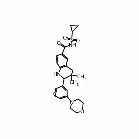 CC1(C)Cc2cc(C(=O)NS(=O)(=O)C3CC3)ccc2NC1c1cncc(N2CCOCC2)c1